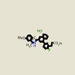 COc1cccc([C@@H](C)NC(C)c2cc(-c3ccc(F)c(CCC(=O)O)c3)c3ccccc3c2)c1.Cl